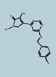 CCCN1CC(c2cc(OCc3ccc(F)cc3)ncn2)=C(O)C1=O